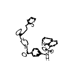 O=C(CCc1cccs1)N1CCN(C(=O)c2ccc(NS(=O)(=O)c3cccc4cccnc34)cc2)CC1